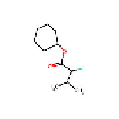 CC(C)C(F)C(=O)OC1CCCCC1